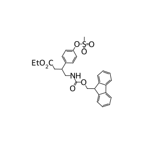 CCOC(=O)CC(CNC(=O)OCC1c2ccccc2-c2ccccc21)c1ccc(OS(C)(=O)=O)cc1